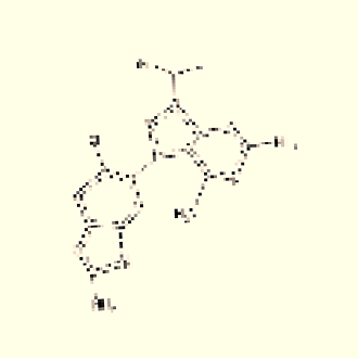 CC(C)C(C)n1nc(-c2cc3nc(N)oc3cc2Cl)c2c(N)nc(N)nc21